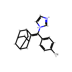 N#Cc1ccc(C(=C2C3CC4CC(C3)CC2C4)n2ccnc2)cc1